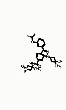 CC1(C#N)CC(n2nc(-c3cccc(OC(F)F)c3)c3ccc(C(=O)NC4(C)CS(=O)(=O)C4)cc32)C1